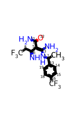 CC(N/C(N)=C(\C(=N)CC(F)(F)F)C(N)=O)c1ccc(C(F)(F)F)cc1